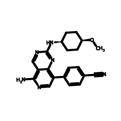 CO[C@H]1CC[C@H](Nc2ncc3c(N)ncc(-c4ccc(C#N)cc4)c3n2)CC1